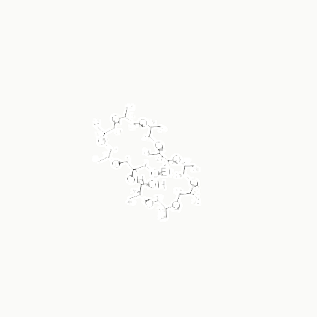 CCOCC(O)COC(C)COC(C)COC(C)COC(C)COC(C)COC(C)COC(C)COC(C)COC(C)CO